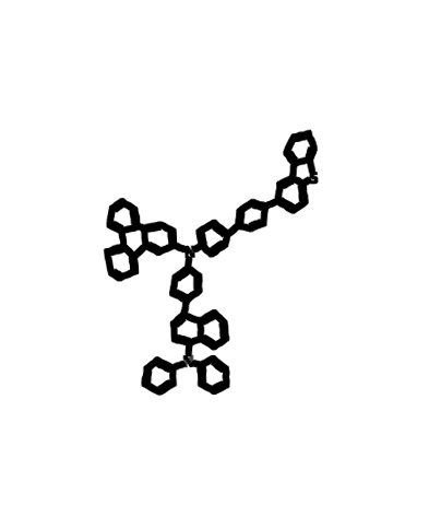 c1ccc(N(c2ccccc2)c2ccc(-c3ccc(N(c4ccc(-c5ccc(-c6ccc7sc8ccccc8c7c6)cc5)cc4)c4ccc5c6ccccc6c6ccccc6c5c4)cc3)c3ccccc23)cc1